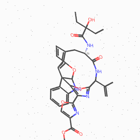 C=C(C)C1NC(=O)[C@@H](NC(=O)C(O)(CC)CC)Cc2ccc3c(c2)C2(c4ccccc4NC2O3)c2oc1nc2-c1nc(C(=O)OC)co1